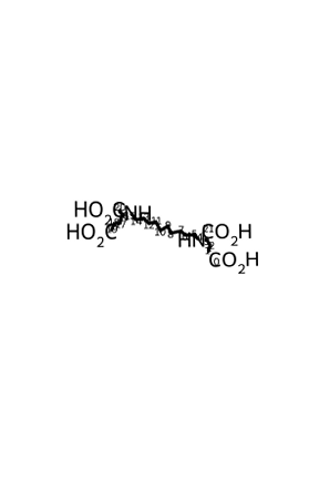 O=C(O)CCC(NCCCCCCCCCCNC(CCC(=O)O)C(=O)O)C(=O)O